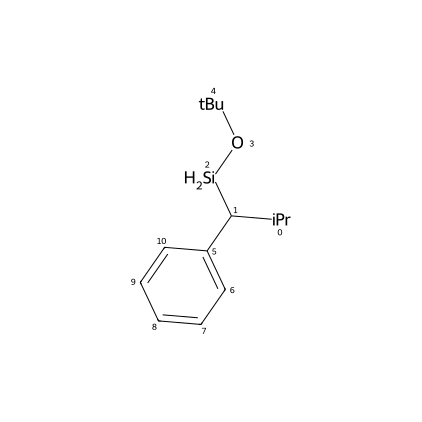 CC(C)C([SiH2]OC(C)(C)C)c1ccccc1